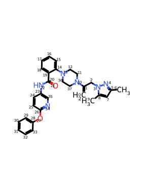 C=C(Cn1nc(C)cc1C)N1CCN(c2ccccc2C(=O)Nc2ccc(Oc3ccccc3)nc2)CC1